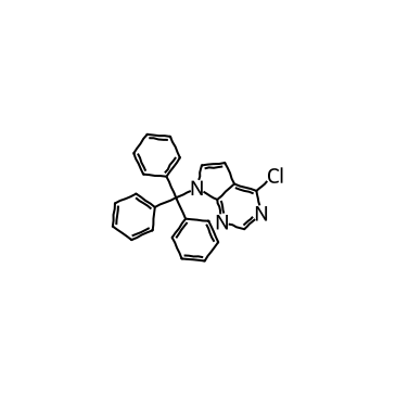 Clc1ncnc2c1ccn2C(c1ccccc1)(c1ccccc1)c1ccccc1